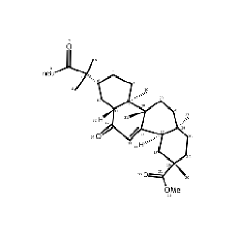 CCCCC(=O)C(C)(C)[C@@H]1CC[C@]2(C)[C@@H](C1)C(=O)C=C1[C@@H]3C[C@@](C)(C(=O)OC)CC[C@]3(C)CC[C@]12C